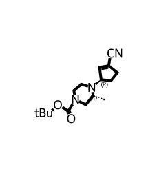 C[C@@H]1CN(C(=O)OC(C)(C)C)CCN1[C@H]1C=C(C#N)CC1